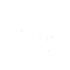 CC(C)Oc1c(Br)cc(C(C)(C)c2cc(Br)c(O)c(Br)c2)cc1Br